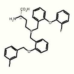 Cc1cccc(COc2ccccc2CN(CC[C@H](N)C(=O)O)Cc2ccccc2Oc2ccccc2F)c1